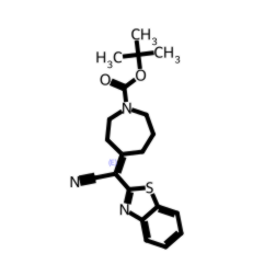 CC(C)(C)OC(=O)N1CCC/C(=C(/C#N)c2nc3ccccc3s2)CC1